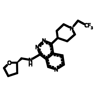 FC(F)(F)CN1CCC(c2nnc(NC[C@H]3CCCO3)c3cnccc23)CC1